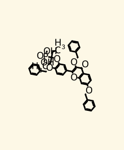 CCC(CC)(Oc1cc(-c2oc3cc(OCc4ccccc4)ccc3c(=O)c2OCc2ccccc2)ccc1OCc1ccccc1)P(=O)(O)O